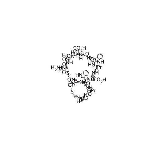 CC(C)C1NC(=O)[C@H](Cc2c[nH]c3ccccc23)NC(=O)[C@H](C)NC(=O)[C@H](CCC(=O)O)NC(=O)[C@H]([C@@H](C)O)NC(=O)[C@@H](NC(=O)[C@H](C)N)CSCC(=O)N2CCN3C[C@H](C2)N(C(=O)CNC(=O)[C@H](CC(=O)O)NC1=O)[C@@H](Cc1c[nH]c2ccccc12)C(=O)NC(C(C)C)C(=O)N1CCC[C@H]1C(=O)N[C@H](C)CSCC3=O